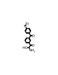 CCOc1ccc(C(=O)c2cccc(C(=O)C(N)O)c2)cc1